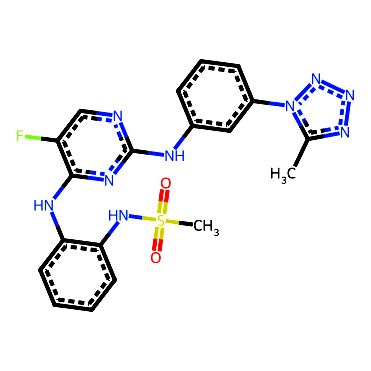 Cc1nnnn1-c1cccc(Nc2ncc(F)c(Nc3ccccc3NS(C)(=O)=O)n2)c1